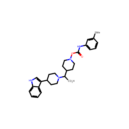 CSc1cccc(NC(=O)ON2CCC(C(C(=O)O)N3CCC(c4c[nH]c5ccccc45)CC3)CC2)c1